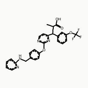 CC(C(=O)O)C(c1cccc(OC(F)(F)F)c1)c1ccnc(Oc2ccc(CNc3ccccn3)cc2)n1